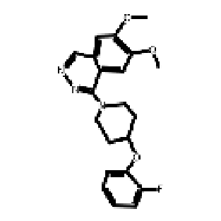 COc1cc2cnnc(N3CCC(Oc4ccccc4F)CC3)c2cc1OC